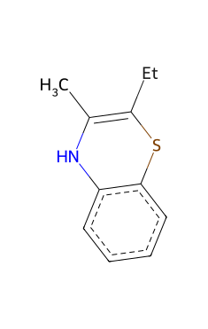 CCC1=C(C)Nc2ccccc2S1